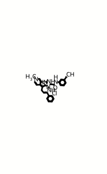 C#Cc1cccc(NC(=O)C2NNC34SC5=CN(C)C=CC5=C3CC=C(c3ccccc3Cl)NN24)c1